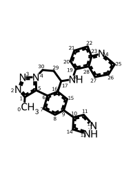 Cc1nnn2c1-c1ccc(-c3cn[nH]c3)cc1C(Nc1cccc3ncccc13)CC2